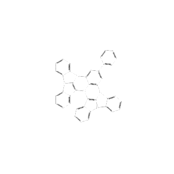 c1ccc(-c2cc3c4c(c2)N2C5=C(c6ccccc6B5c5ccccc52)N4C2=C4B(c5ccccc52)c2ccccc2N43)cc1